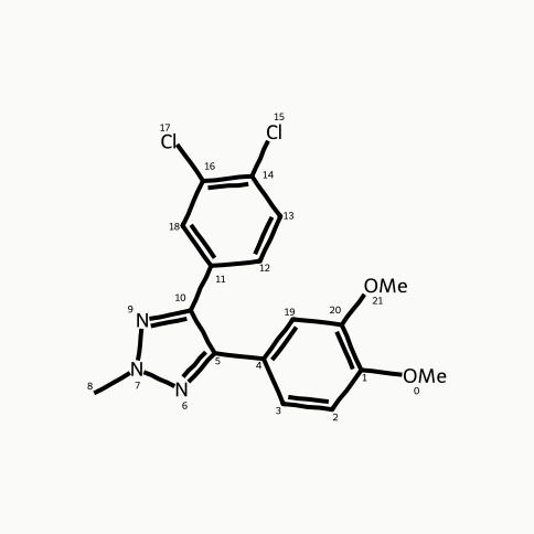 COc1ccc(-c2nn(C)nc2-c2ccc(Cl)c(Cl)c2)cc1OC